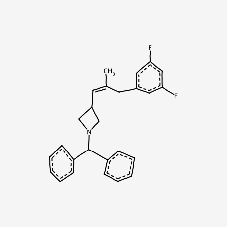 CC(=CC1CN(C(c2ccccc2)c2ccccc2)C1)Cc1cc(F)cc(F)c1